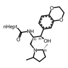 CCCCCCCC(=O)N[C@H](CN1C(C)CC[C@H]1C)[C@H](O)c1ccc2c(c1)OCCO2